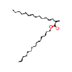 C=C(CCCCCCCCCCCCC)C(=O)OCCCCCCCCCCCCCC